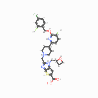 O=C(O)c1cc2c(nc(CN3CC=C(c4ccc(F)c(OCc5ccc(Cl)cc5F)n4)CC3)n2C[C@@H]2CCO2)s1